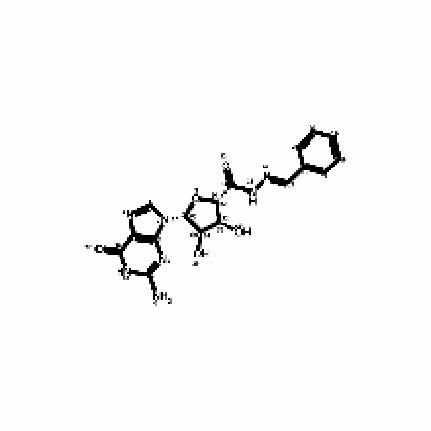 Nc1nc2c(ncn2[C@@H]2O[C@H](C(=O)NN=Cc3ccccc3)[C@@H](O)[C@H]2O)c(=O)[nH]1